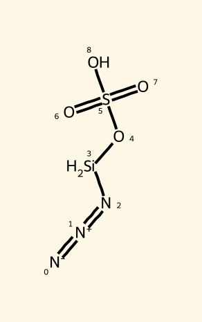 [N-]=[N+]=N[SiH2]OS(=O)(=O)O